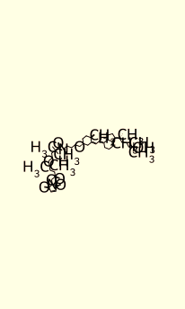 C=C1CC[C@H](OCCCNC(=O)C(C)(C)CCOC(C)(C)CCC(=O)ON2C(=O)C=CC2=O)C/C1=C/C=C1\CCC[C@]2(C)C([C@H](C)CCCC(C)(C)O)CC[C@@H]12